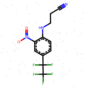 N#CCCNc1ccc(C(F)(F)C(F)(F)F)cc1[N+](=O)[O-]